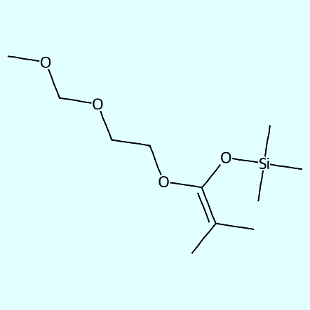 COCOCCOC(O[Si](C)(C)C)=C(C)C